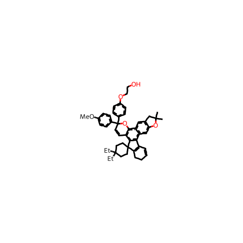 CCC1(CC)CCC2(CC1)C1=C(C=CCC1)c1c2c2c(c3cc4c(cc13)OC(C)(C)C4)OC(c1ccc(OC)cc1)(c1ccc(OCCO)cc1)C=C2